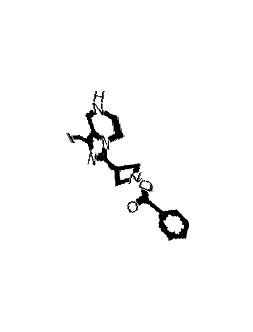 O=C(ON1CC(c2nc(I)c3n2CCNC3)C1)c1ccccc1